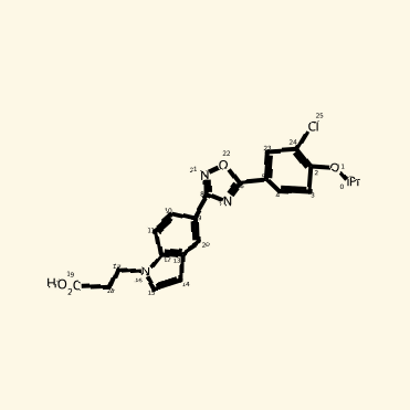 CC(C)Oc1ccc(-c2nc(-c3ccc4c(ccn4CCC(=O)O)c3)no2)cc1Cl